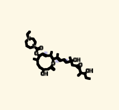 C=C1CC(O)CCC(C)C(OC(=O)N2CCCN(CC)CC2)/C=C/C(C)C(/C(C)=C/C=C/C(C)(O)CC2OC2C(C)C(O)CC)O1